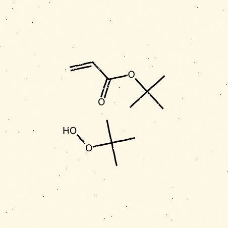 C=CC(=O)OC(C)(C)C.CC(C)(C)OO